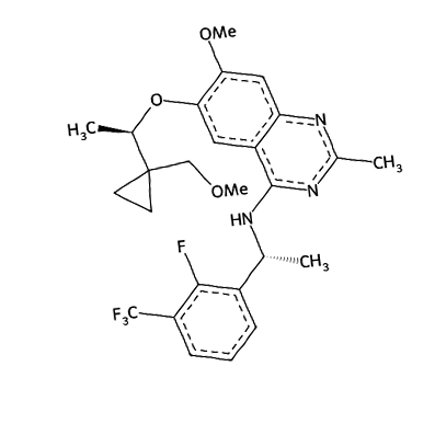 COCC1([C@@H](C)Oc2cc3c(N[C@H](C)c4cccc(C(F)(F)F)c4F)nc(C)nc3cc2OC)CC1